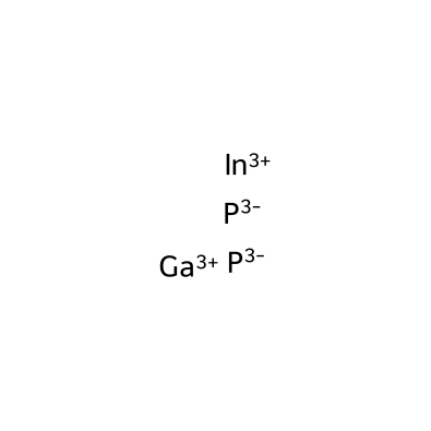 [Ga+3].[In+3].[P-3].[P-3]